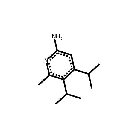 Cc1nc(N)cc(C(C)C)c1C(C)C